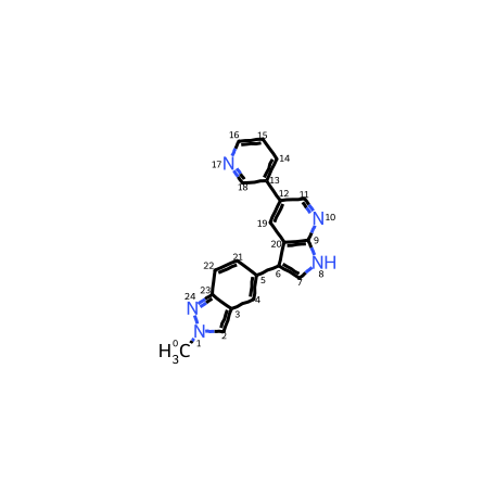 Cn1cc2cc(-c3c[nH]c4ncc(-c5cccnc5)cc34)ccc2n1